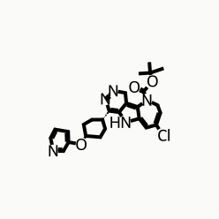 CC(C)(C)OC(=O)N1CC=C(Cl)C=c2[nH]c3c(c21)CN=NC=3[C@H]1CC[C@H](Oc2cccnc2)CC1